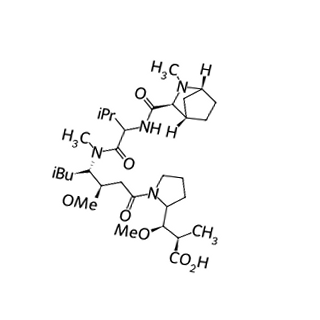 CC[C@H](C)[C@@H]([C@@H](CC(=O)N1CCCC1[C@H](OC)[C@@H](C)C(=O)O)OC)N(C)C(=O)C(NC(=O)[C@@H]1[C@H]2CC[C@H](C2)N1C)C(C)C